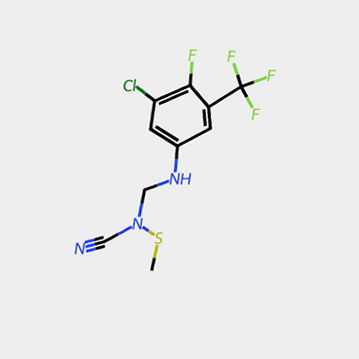 CSN(C#N)CNc1cc(Cl)c(F)c(C(F)(F)F)c1